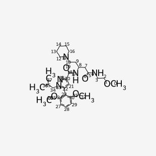 COCCNC(=O)CC(CCN1CCCCC1)NC(=O)c1cc(-c2c(OC)cccc2OC)n(CC(C)C)n1